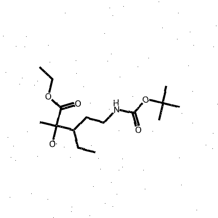 CCOC(=O)C(C)([O])C(CC)CCNC(=O)OC(C)(C)C